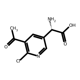 CC(=O)c1cc([C@H](N)C(=O)O)cnc1Cl